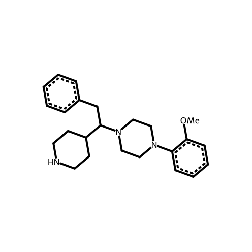 COc1ccccc1N1CCN(C(Cc2ccccc2)C2CCNCC2)CC1